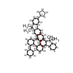 CC1(C)c2ccccc2-c2ccc(N(c3ccc4c(c3)C(C)(C)c3ccc(C5CCCC5)cc3-4)c3cccc(-c4ccccc4)c3-c3ccccc3-c3ccccc3)cc21